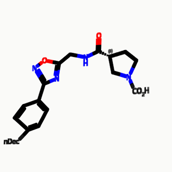 CCCCCCCCCCc1ccc(-c2noc(CNC(=O)[C@@H]3CCN(C(=O)O)C3)n2)cc1